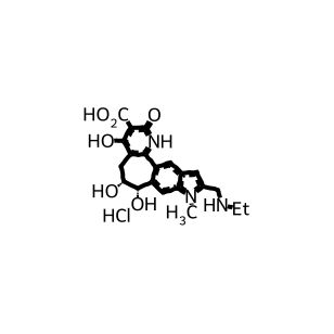 CCNCc1cc2cc3c(cc2n1C)[C@H](O)[C@H](O)Cc1c-3[nH]c(=O)c(C(=O)O)c1O.Cl